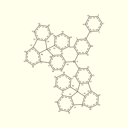 c1ccc(-c2ccc(N(c3ccc4c(c3)C3(c5ccccc5)c5ccccc5-c5cccc-4c53)c3ccc4c(c3)C3(c5ccccc5)c5ccccc5-c5cccc-4c53)cc2)cc1